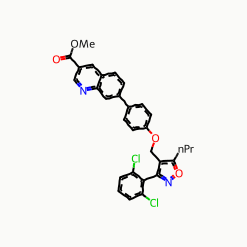 CCCc1onc(-c2c(Cl)cccc2Cl)c1COc1ccc(-c2ccc3cc(C(=O)OC)cnc3c2)cc1